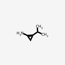 CC(C)C1=C(N)C1